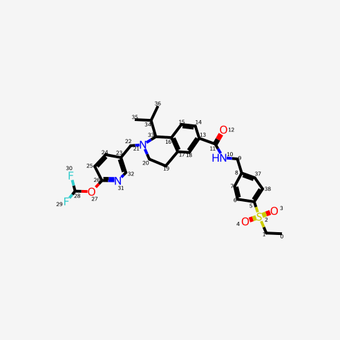 CCS(=O)(=O)c1ccc(CNC(=O)c2ccc3c(c2)CCN(Cc2ccc(OC(F)F)nc2)C3C(C)C)cc1